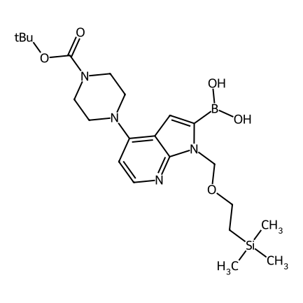 CC(C)(C)OC(=O)N1CCN(c2ccnc3c2cc(B(O)O)n3COCC[Si](C)(C)C)CC1